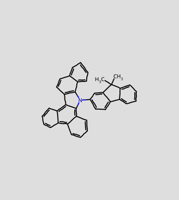 CC1(C)c2ccccc2-c2ccc(-n3c4c5ccccc5ccc4c4c5ccccc5c5ccccc5c43)cc21